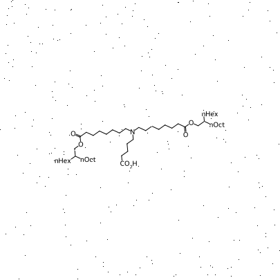 CCCCCCCCC(CCCCCC)COC(=O)CCCCCCCN(CCCCCCCC(=O)OCC(CCCCCC)CCCCCCCC)CCCCC(=O)O